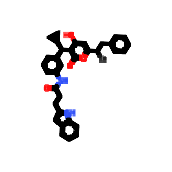 CCC(Cc1ccccc1)c1cc(O)c(C(c2cccc(NC(=O)CCc3cc4ccccc4[nH]3)c2)C2CC2)c(=O)o1